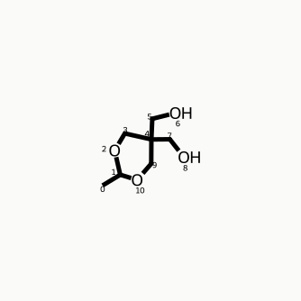 CC1OCC(CO)(CO)CO1